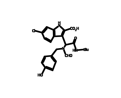 CC(C)(C)NC(=O)C(c1c(C(=O)O)[nH]c2cc(Cl)ccc12)N(C=O)Cc1ccc(O)cc1